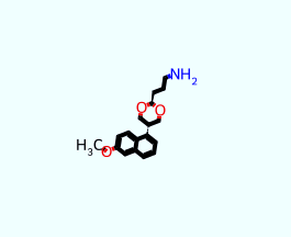 COc1ccc2c(cccc2[C@H]2CO[C@H](CCCN)OC2)c1